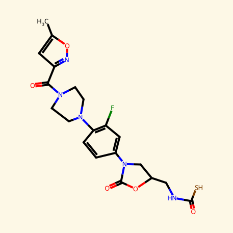 Cc1cc(C(=O)N2CCN(c3ccc(N4CC(CNC(=O)S)OC4=O)cc3F)CC2)no1